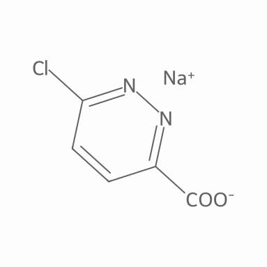 O=C([O-])c1ccc(Cl)nn1.[Na+]